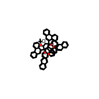 CC1(C)OC(C(OCc2ccc3ccccc3c2)(c2cc3ccccc3c3ccccc23)c2cc3ccccc3c3ccccc23)C(C(OCc2ccc3ccccc3c2)(c2cc3ccccc3c3ccccc23)c2cc3ccccc3c3ccccc23)O1